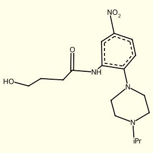 CC(C)N1CCN(c2ccc([N+](=O)[O-])cc2NC(=O)CCCO)CC1